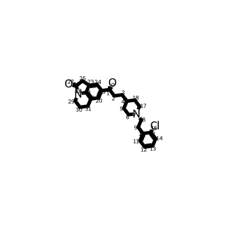 O=C(CCC1CCN(CCc2ccccc2Cl)CC1)c1cc2c3c(c1)CC(=O)N3CCC2